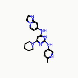 Cc1ccc(Nc2nc(Nc3ccn4ccnc4c3)cc(N3CCCCC3)n2)cn1